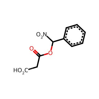 O=C(O)CC(=O)OC(c1ccccc1)[N+](=O)[O-]